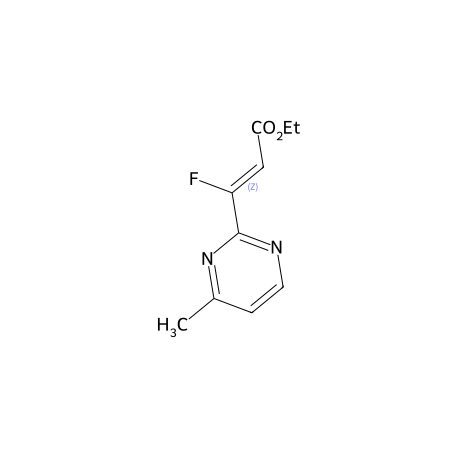 CCOC(=O)/C=C(\F)c1nccc(C)n1